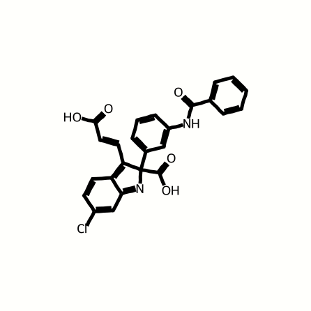 O=C(O)C=CC1=c2ccc(Cl)cc2=NC1(C(=O)O)c1cccc(NC(=O)c2ccccc2)c1